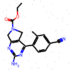 CCOC(=O)N1Cc2nc(N)nc(-c3ccc(C#N)cc3C)c2C1